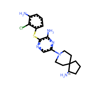 Nc1cccc(Sc2ncc(N3CCC4(CCC[C@H]4N)CC3)nc2N)c1Cl